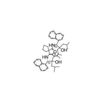 CC(C)CC(O)(CC(C)C)[C@@H](NC(=O)C1(C(=O)N[C@@H](c2cccc3ccccc23)C(O)(CC(C)C)CC(C)C)CCCC1)c1cccc2ccccc12